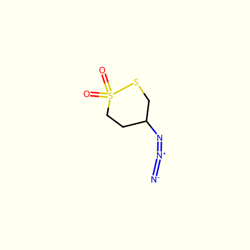 [N-]=[N+]=NC1CCS(=O)(=O)SC1